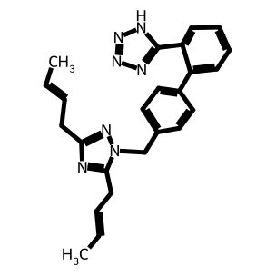 C/C=C/Cc1nc(C/C=C/C)n(Cc2ccc(-c3ccccc3-c3nnn[nH]3)cc2)n1